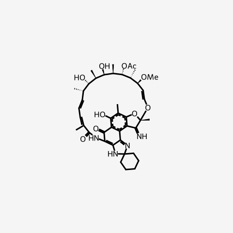 CO[C@H]1/C=C/O[C@@]2(C)Oc3c(C)c(O)c4c(c3C2=N)C2=NC3(CCCCC3)NC2=C(NC(=O)/C(C)=C\C=C\[C@H](C)[C@H](O)[C@@H](C)[C@@H](O)[C@@H](C)[C@H](OC(C)=O)[C@@H]1C)C4=O